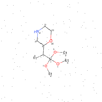 CCO[Si](OCC)(OCC)C(CC)C1CNCCO1